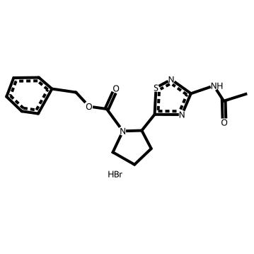 Br.CC(=O)Nc1nsc(C2CCCN2C(=O)OCc2ccccc2)n1